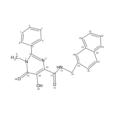 Cn1c(-c2ccccc2)nc(C(=O)NCc2ccc3ccccc3c2)c(O)c1=O